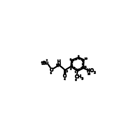 Cc1c(C(=O)NOC(C)(C)C)cccc1[N+](=O)[O-]